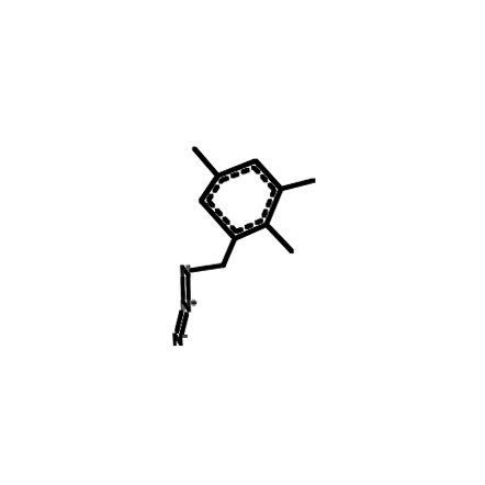 Cc1cc(C)c(C)c(CN=[N+]=[N-])c1